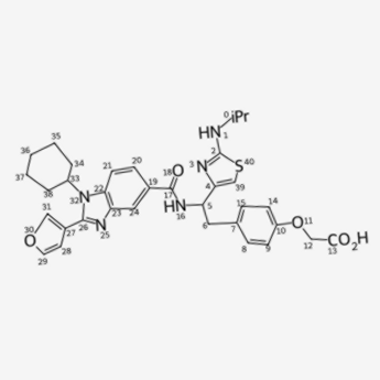 CC(C)Nc1nc(C(Cc2ccc(OCC(=O)O)cc2)NC(=O)c2ccc3c(c2)nc(-c2ccoc2)n3C2CCCCC2)cs1